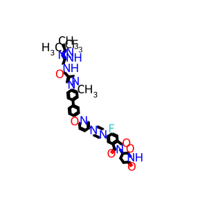 Cc1cc(-c2ccc(Oc3ccc(N4CCN(c5cc6c(cc5F)C(=O)N(C5CCC(=O)NC5=O)C6=O)CC4)cn3)cc2)ccc1-n1cc(C(=O)NCc2nc(C(C)(C)C(F)(F)F)n[nH]2)cn1